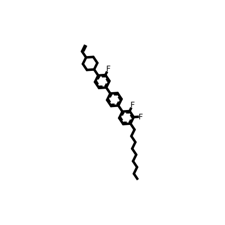 C=CC1CCC(c2ccc(-c3ccc(-c4ccc(CCCCCCCCC)c(F)c4F)cc3)cc2F)CC1